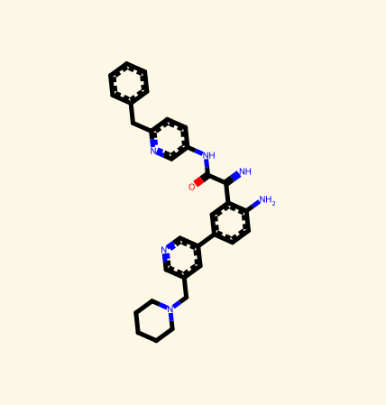 N=C(C(=O)Nc1ccc(Cc2ccccc2)nc1)c1cc(-c2cncc(CN3CCCCC3)c2)ccc1N